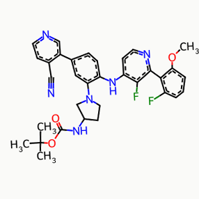 COc1cccc(F)c1-c1nccc(Nc2ccc(-c3cnccc3C#N)cc2N2CCC(NC(=O)OC(C)(C)C)C2)c1F